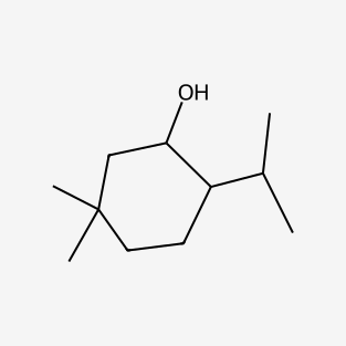 CC(C)C1CCC(C)(C)CC1O